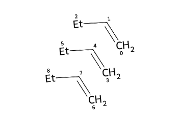 C=CCC.C=CCC.C=CCC